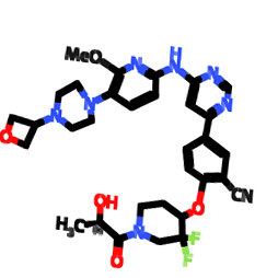 COc1nc(Nc2cc(-c3ccc(OC4CCN(C(=O)[C@@H](C)O)CC4(F)F)c(C#N)c3)ncn2)ccc1N1CCN(C2COC2)CC1